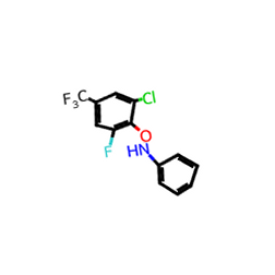 Fc1cc(C(F)(F)F)cc(Cl)c1ONc1ccccc1